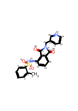 Cc1ccccc1S(=O)(=O)Nc1cccc2c1C(=O)N(Cc1cccnc1)C2=O